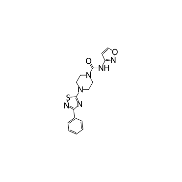 O=C(Nc1ccon1)N1CCN(c2nc(-c3ccccc3)ns2)CC1